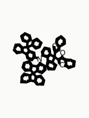 c1ccc(C2(c3ccccc3)c3ccccc3-c3ccc(N(c4cccc5c4-c4ccccc4C54c5ccccc5-c5ccccc54)c4cccc5c4-c4ccccc4C54c5ccc6ccccc6c5Oc5c4ccc4ccccc54)cc32)cc1